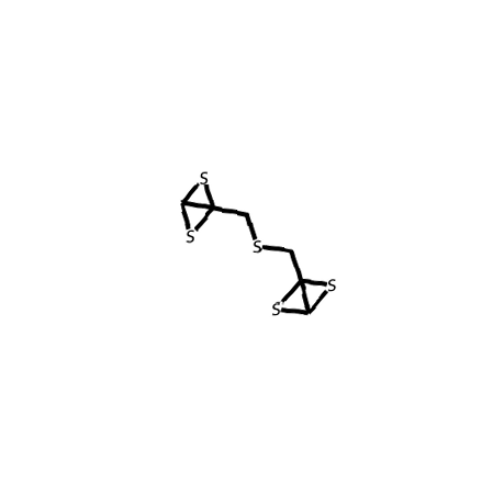 C(SCC12SC1S2)C12SC1S2